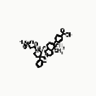 CC1(C)C(c2ccc(C(=O)O)cc2)=CC[C@]2(C)CN(C(=O)C3(c4ccccc4)CCN(C(=O)CS(C)(=O)=O)CC3)CC=C12